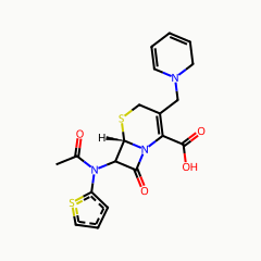 CC(=O)N(c1cccs1)C1C(=O)N2C(C(=O)O)=C(CN3C=CC=CC3)CS[C@@H]12